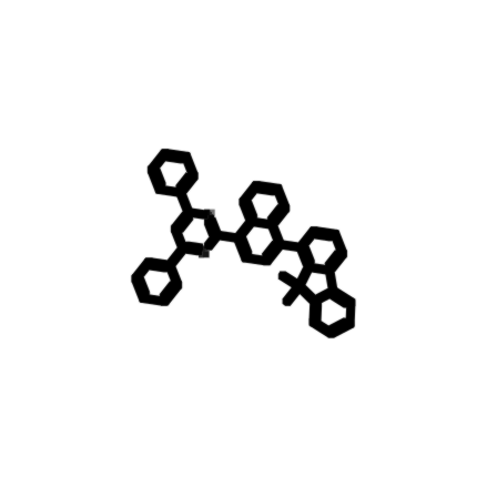 CC1(C)c2ccccc2-c2cccc(-c3ccc(-c4nc(-c5ccccc5)cc(-c5ccccc5)n4)c4ccccc34)c21